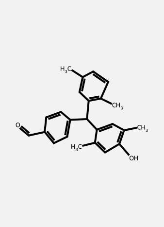 Cc1ccc(C)c(C(c2ccc(C=O)cc2)c2cc(C)c(O)cc2C)c1